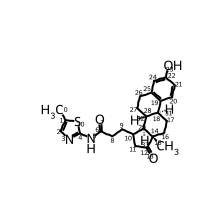 Cc1cnc(NC(=O)CCC2CC(=O)[C@@]3(C)CC[C@@H]4c5ccc(O)cc5CC[C@H]4[C@H]23)s1